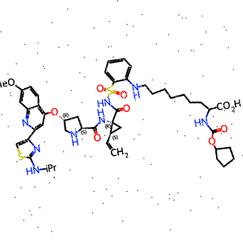 C=C[C@@H]1C[C@]1(NC(=O)[C@@H]1C[C@@H](Oc2cc(-c3csc(NC(C)C)n3)nc3cc(OC)ccc23)CN1)C(=O)NS(=O)(=O)c1ccccc1NCCCCCCCC(NC(=O)OC1CCCC1)C(=O)O